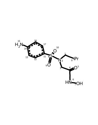 CC(C)CN(CC(=O)NO)S(=O)(=O)c1ccc(N)cc1